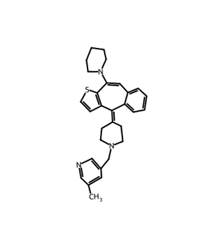 Cc1cncc(CN2CCC(=C3c4ccccc4C=C(N4CCCCC4)c4sccc43)CC2)c1